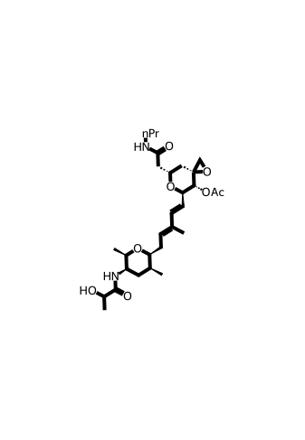 CCCNC(=O)C[C@@H]1C[C@@]2(CO2)[C@H](OC(C)=O)[C@@H](/C=C/C(C)=C/C[C@@H]2O[C@H](C)[C@H](NC(=O)C(C)O)C[C@@H]2C)O1